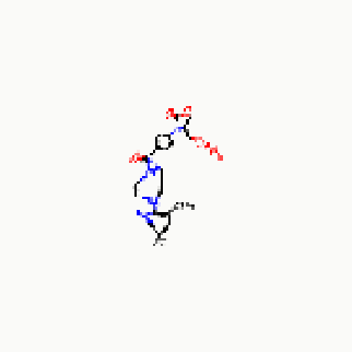 CCc1cnc(N2CCN(C(=O)c3ccc(N4C(=O)OCC4CO)cc3)CC2)c(C)c1